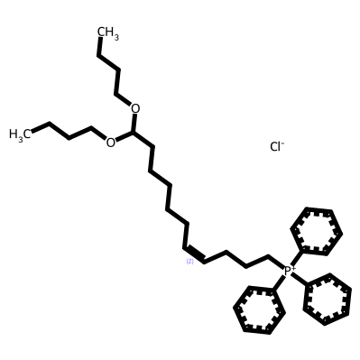 CCCCOC(CCCCC/C=C\CCC[P+](c1ccccc1)(c1ccccc1)c1ccccc1)OCCCC.[Cl-]